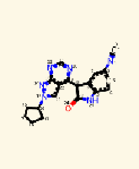 [C-]#[N+]c1ccc2c(c1)C(c1ncnc3nn(C4CCCC4)cc13)C(=O)N2